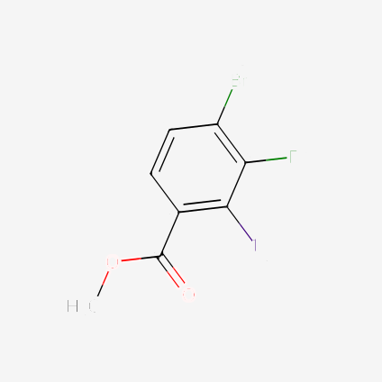 COC(=O)c1ccc(Br)c(F)c1I